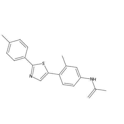 C=C(C)Nc1ccc(-c2cnc(-c3ccc(C)cc3)s2)c(C)c1